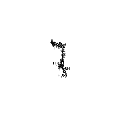 Cc1ncsc1-c1ccc([C@H](CO)NC(=O)[C@@H]2CCCN2C(=O)[C@@H](c2cc(OCCCN3CCN(c4ccc(-c5cnc6[nH]cc(C(=O)c7c(F)ccc(NS(=O)(=O)N8CC[C@@H](F)C8)c7F)c6c5)cc4)CC3)no2)C(C)C)cc1